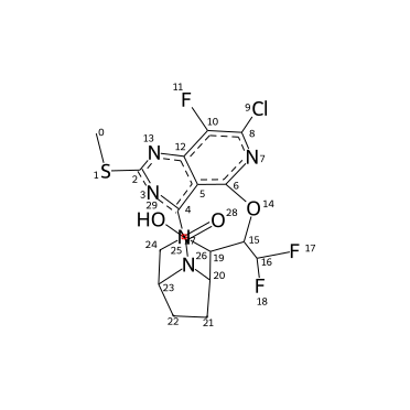 CSc1nc2c3c(nc(Cl)c(F)c3n1)OC(C(F)F)C1C3CCC(CN21)N3C(=O)O